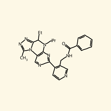 CCC1c2nnc(C)n2-c2cnc(-c3ccncc3CNC(=O)c3ccccc3)nc2N1C(C)C